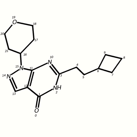 O=c1[nH]c(CCC2CCC2)nc2c1cnn2C1CCOCC1